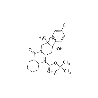 CC(C)(C)OC(=O)N[C@@H]1CCCC[C@@H]1C(=O)N1CC[C@](O)(c2ccc(Cl)cc2)C(C)(C)C1